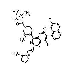 C[C@H]1CN(C(=O)OC(C)(C)C)CCN1c1nc(OC[C@@H]2CCCN2C)nc2c(F)c(-c3cccc4ccc(F)c(Cl)c34)ncc12